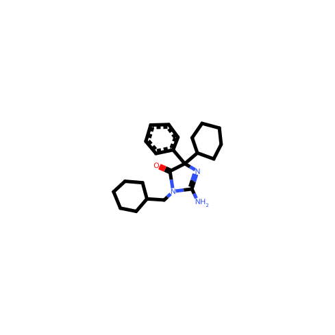 NC1=NC(c2ccccc2)(C2CCCCC2)C(=O)N1CC1CCCCC1